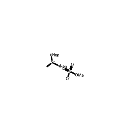 CCCCCCCCC[S+](C)CCCCCCCCC.COS(=O)(=O)[O-]